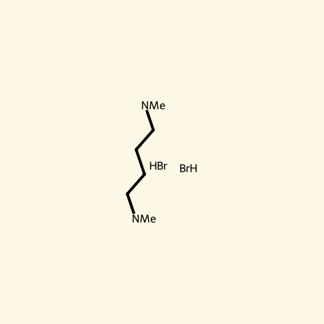 Br.Br.CNCCCCNC